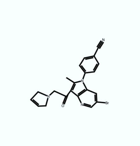 Cc1c(C(=O)CN2CC=CC2)c2ncc(Br)cc2n1-c1ccc(C#N)cc1